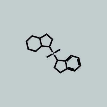 CS(C)(C1CCc2ccccc21)C1CCC2CCCCC21